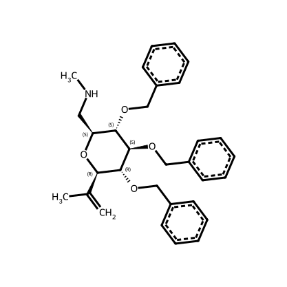 C=C(C)[C@H]1O[C@@H](CNC)[C@H](OCc2ccccc2)[C@@H](OCc2ccccc2)[C@@H]1OCc1ccccc1